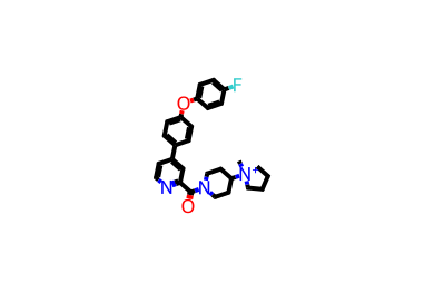 C[N+]1(C2CCN(C(=O)c3cc(-c4ccc(Oc5ccc(F)cc5)cc4)ccn3)CC2)CCCC1